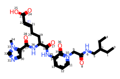 CCC(CC)CNC(=O)Cn1cccc(NC(=O)C(CC/C=C/C(=O)O)NC(=O)c2cncn2C)c1=O